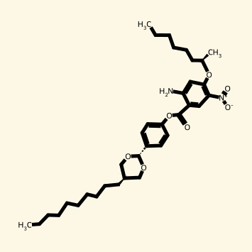 CCCCCCCCCC[C@H]1CO[C@H](c2ccc(OC(=O)c3cc([N+](=O)[O-])c(O[C@H](C)CCCCCC)cc3N)cc2)OC1